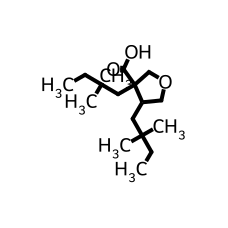 CCC(C)(C)CC1COCC1(CC(C)(C)CC)C(=O)O